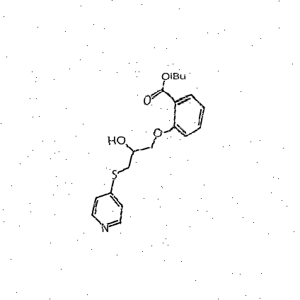 CC(C)COC(=O)c1ccccc1OCC(O)CSc1ccncc1